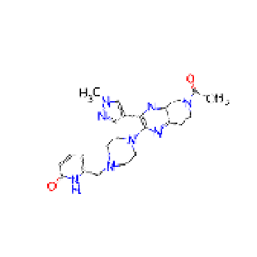 CC(=O)N1CCc2nc(N3CCN(Cc4cccc(=O)[nH]4)CC3)c(-c3cnn(C)c3)nc2C1